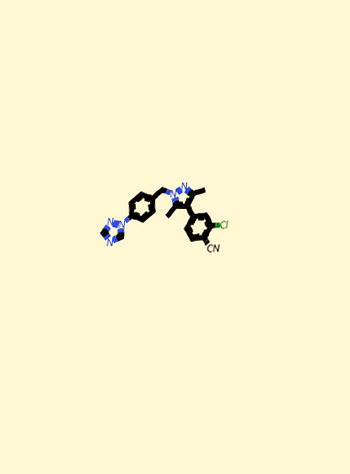 Cc1nn(Cc2ccc(-n3cncn3)cc2)c(C)c1-c1ccc(C#N)c(Cl)c1